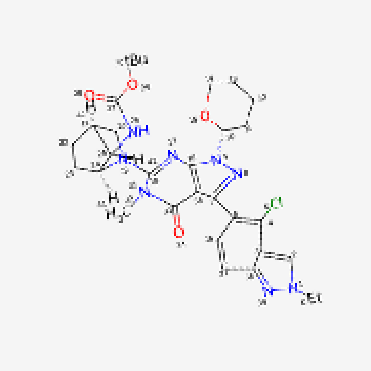 CCn1cc2c(Cl)c(-c3nn([C@H]4CCCCO4)c4nc(N5C[C@@H]6CC[C@H]5[C@H]6NC(=O)OC(C)(C)C)n(C)c(=O)c34)ccc2n1